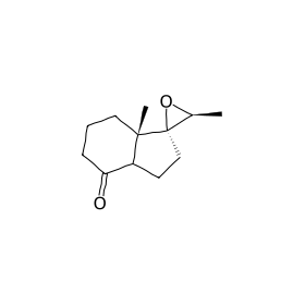 C[C@@H]1O[C@@]12CCC1C(=O)CCC[C@@]12C